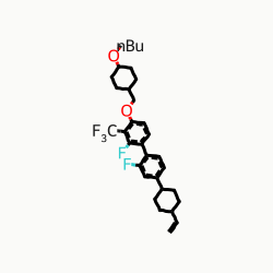 C=CC1CCC(c2ccc(-c3ccc(OCC4CCC(OCCCC)CC4)c(C(F)(F)F)c3F)c(F)c2)CC1